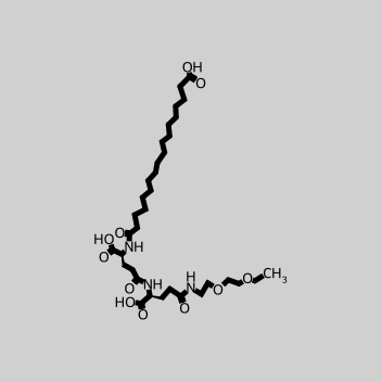 CCOCCOCCNC(=O)CC[C@H](NC(=O)CC[C@H](NC(=O)CCCCCCCCCCCCCCCCC(=O)O)C(=O)O)C(=O)O